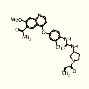 C=CC(=O)N1CCC(NC(=O)Nc2ccc(Oc3ccnc4cc(OC)c(C(N)=O)cc34)cc2Cl)C1